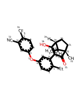 CCc1ccc(Oc2ccc(C(F)(F)F)c(C#N)c2)cc1C1=C(O)[C@@H]2CC[C@](C)(C1=O)C2(C)C